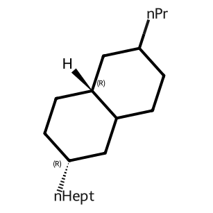 CCCCCCC[C@@H]1CC[C@@H]2CC(CCC)CCC2C1